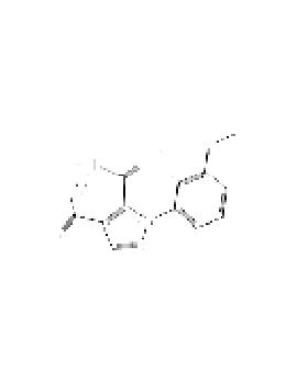 COC(=O)c1cnn(-c2cccc(OC(C)C)c2)c1C(N)=O